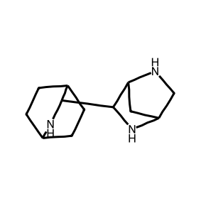 C1CC2CCC1NC2C1NC2CNC1C2